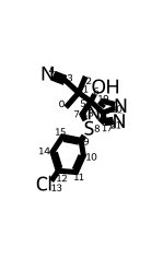 CC(C)(C#N)C(O)(CSc1ccc(Cl)cc1)C1c2ncn1n2